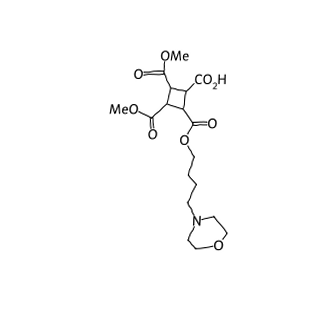 COC(=O)C1C(C(=O)O)C(C(=O)OCCCCN2CCOCC2)C1C(=O)OC